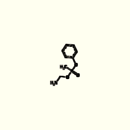 CP(=O)(OCN)Oc1ccccc1